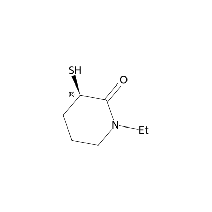 CCN1CCC[C@@H](S)C1=O